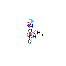 CCOP(=O)(NCc1ccc(F)cc1F)c1ccc(-c2noc(C(F)(F)F)n2)cc1